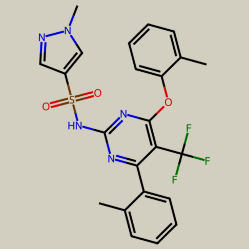 Cc1ccccc1Oc1nc(NS(=O)(=O)c2cnn(C)c2)nc(-c2ccccc2C)c1C(F)(F)F